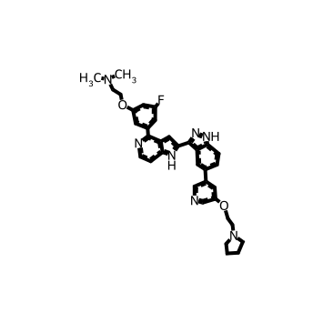 CN(C)CCOc1cc(F)cc(-c2nccc3[nH]c(-c4n[nH]c5ccc(-c6cncc(OCCN7CCCC7)c6)cc45)cc23)c1